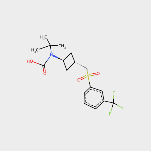 CC(C)(C)N(C(=O)O)[C@H]1C[C@H](CS(=O)(=O)c2cccc(C(F)(F)F)c2)C1